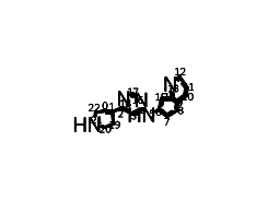 C1=C(c2cc(Nc3ccc4cccnc4c3)ncn2)CCNC1